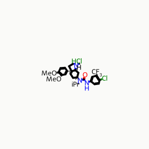 COc1ccc([C@@]23CC[C@@H](N(C(=O)Nc4ccc(Cl)c(C(F)(F)F)c4)C(C)C)C[C@@H]2N(C)CC3)cc1OC.Cl